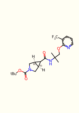 CC(C)(COc1ncccc1C(F)(F)F)NC(=O)C1[C@H]2CN(C(=O)OC(C)(C)C)C[C@@H]12